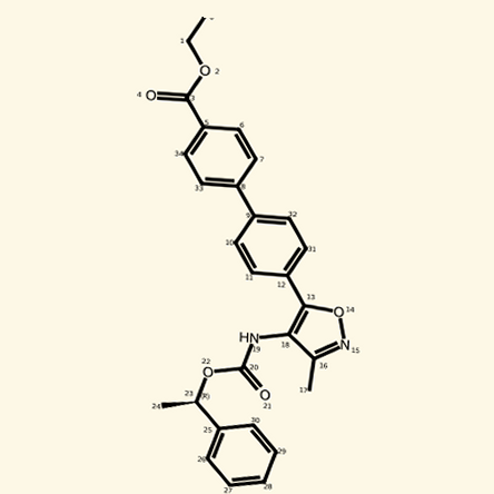 CCOC(=O)c1ccc(-c2ccc(-c3onc(C)c3NC(=O)O[C@H](C)c3ccccc3)cc2)cc1